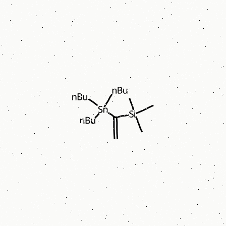 C=[C]([Si](C)(C)C)[Sn]([CH2]CCC)([CH2]CCC)[CH2]CCC